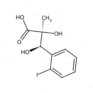 C[C@@](O)(C(=O)O)[C@H](O)c1ccccc1I